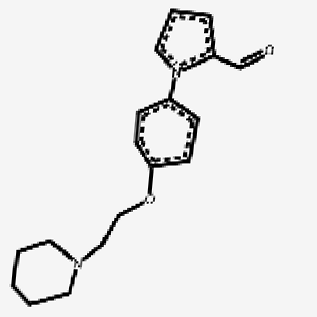 O=Cc1cccn1-c1ccc(OCCN2CCCCC2)cc1